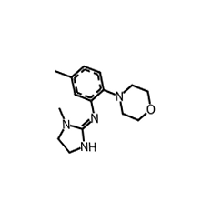 Cc1ccc(N2CCOCC2)c(N=C2NCCN2C)c1